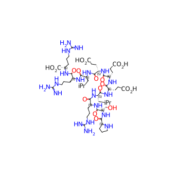 CC(C)C[C@H](NC(=O)[C@H](CCC(=O)O)NC(=O)[C@H](CCC(=O)O)NC(=O)[C@H](CCC(=O)O)NC(=O)[C@H](CC(C)C)NC(=O)[C@H](CCCNC(=N)N)NC(=O)[C@H](CO)NC(=O)[C@@H]1CCCN1)C(=O)N[C@@H](CCCNC(=N)N)C(=O)N[C@@H](CCCNC(=N)N)C(=O)O